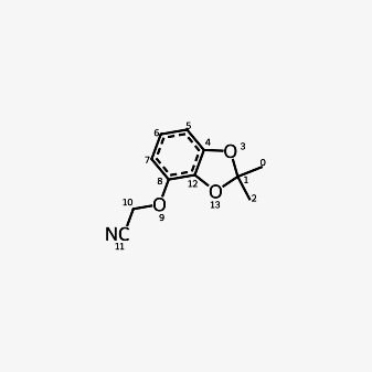 CC1(C)Oc2cccc(OCC#N)c2O1